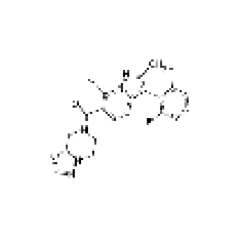 Cc1nn2c(C(C)C)c(C(=O)N3CCn4ncnc4C3)ccc2c1-c1c(F)cccc1F